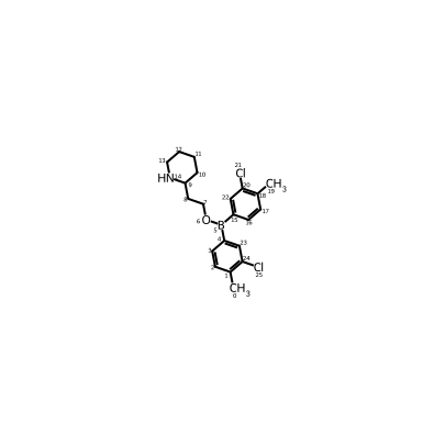 Cc1ccc(B(OCCC2CCCCN2)c2ccc(C)c(Cl)c2)cc1Cl